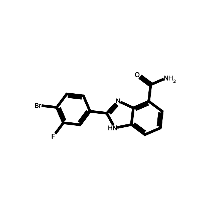 NC(=O)c1cccc2[nH]c(-c3ccc(Br)c(F)c3)nc12